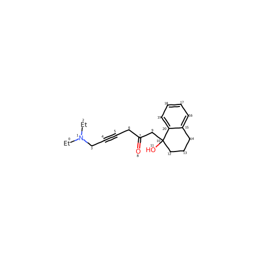 CCN(CC)CC#CCC(=O)CC1(O)CCCc2ccccc21